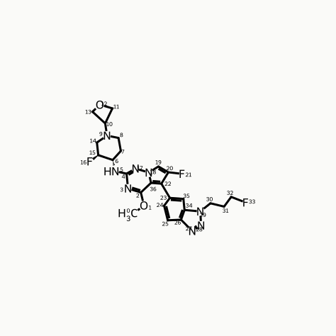 COc1nc(N[C@H]2CCN(C3COC3)C[C@@H]2F)nn2cc(F)c(-c3ccc4nnn(CCCF)c4c3)c12